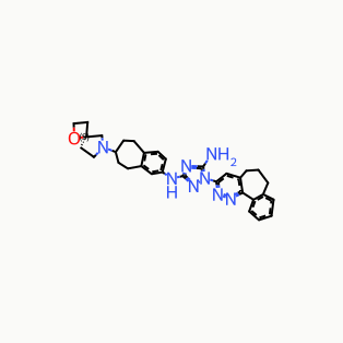 Nc1nc(Nc2ccc3c(c2)CCC(N2CC[C@]4(CCO4)C2)CC3)nn1-c1cc2c(nn1)-c1ccccc1CCC2